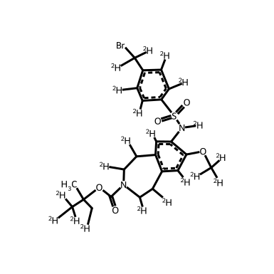 [2H]CC(C)(OC(=O)N1C([2H])C([2H])c2c([2H])c(OC([2H])([2H])[2H])c(N([2H])S(=O)(=O)c3c([2H])c([2H])c(C([2H])([2H])Br)c([2H])c3[2H])c([2H])c2C([2H])C1[2H])C([2H])([2H])[2H]